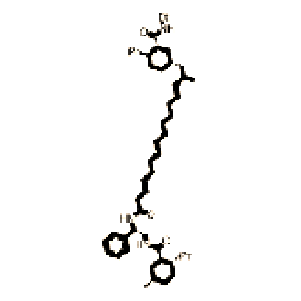 CCNC(=O)[C@@H]1C[C@H](CC(C)CCCCCCCCCCCCCC(=O)N[C@H](CNC(=O)[C@@H]2C[C@H](C)CC[C@H]2C(C)C)c2ccccc2)CC[C@H]1C(C)C